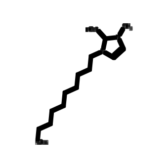 CCCCCCCCCCCCCCCCCCCN1C=CN(C)C1CCCCCCCC